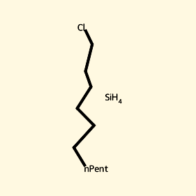 CCCCCCCCCCCCl.[SiH4]